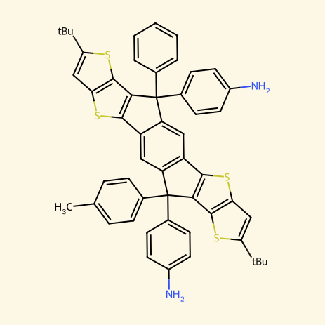 Cc1ccc(C2(c3ccc(N)cc3)c3cc4c(cc3-c3sc5cc(C(C)(C)C)sc5c32)C(c2ccccc2)(c2ccc(N)cc2)c2c-4sc3cc(C(C)(C)C)sc23)cc1